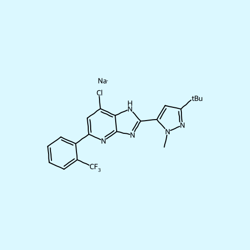 Cn1nc(C(C)(C)C)cc1-c1nc2nc(-c3ccccc3C(F)(F)F)cc(Cl)c2[nH]1.[Na]